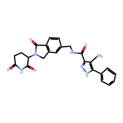 Cc1c(C(=O)NCc2ccc3c(c2)CN(C2CCC(=O)NC2=O)C3=O)n[nH]c1-c1ccccc1